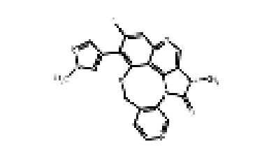 Cn1cc(-c2c(F)cc3ncc4c5c3c2OCc2ccncc2-n5c(=O)n4C)cn1